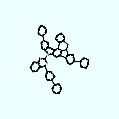 c1ccc(-c2ccc(-c3nc(-n4c5ccc(-c6ccccc6)cc5c5c6c7c(cc54)-c4ccc(-c5ccccc5)cc4C7Cc4ccccc4-6)nc4ccccc34)cc2)cc1